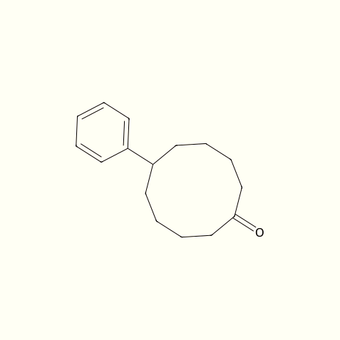 O=C1CCCCC(c2ccccc2)CCCC1